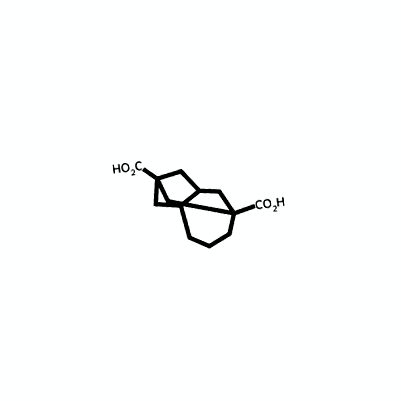 O=C(O)C12CCCC3CC(C(=O)O)(CC3C1)C2